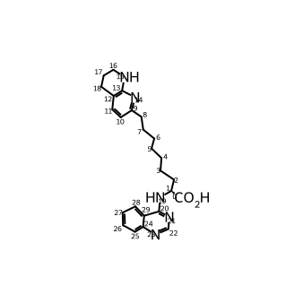 O=C(O)[C@H](CCCCCCCc1ccc2c(n1)NCCC2)Nc1ncnc2ccccc12